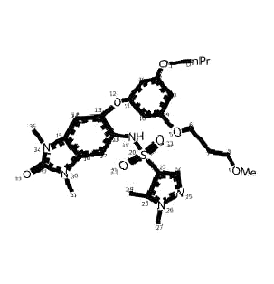 CCCOc1cc(OCCCOC)cc(Oc2cc3c(cc2NS(=O)(=O)c2cnn(C)c2C)n(C)c(=O)n3C)c1